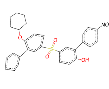 O=[N+]([O-])c1ccc(-c2cc(S(=O)(=O)c3ccc(OC4CCCCC4)c(-c4ccccc4)c3)ccc2O)cc1